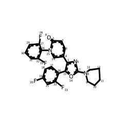 O=c1ccc(-c2nc(N3CCCCC3)oc2-c2ccc(F)cc2F)cn1-c1c(F)cccc1F